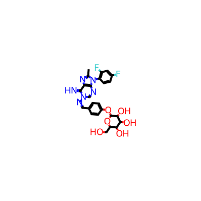 Cc1nc2c(=N)n(/N=C\c3ccc(OC4OC(CO)C(O)C(O)C4O)cc3)cnc2n1-c1ccc(F)cc1F